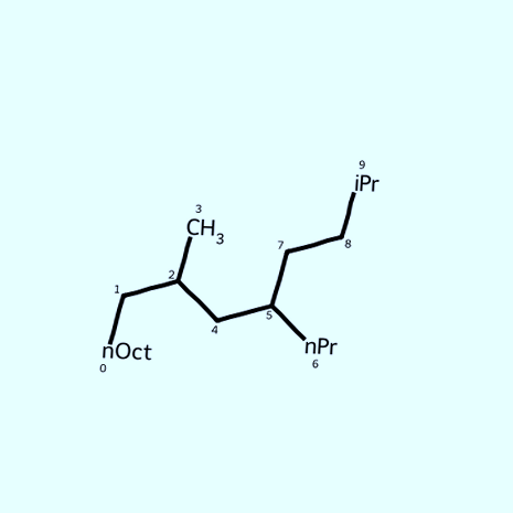 CCCCCCCCCC(C)CC(CCC)CCC(C)C